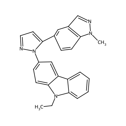 CCn1c2ccccc2c2cc(-n3nccc3-c3ccc4c(cnn4C)c3)ccc21